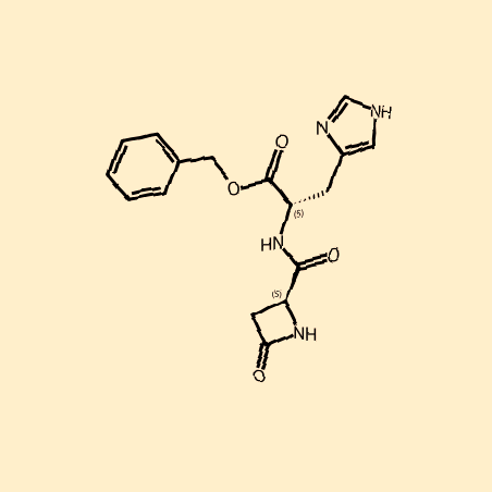 O=C1C[C@@H](C(=O)N[C@@H](Cc2c[nH]cn2)C(=O)OCc2ccccc2)N1